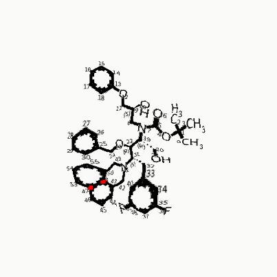 CC(C)(C)OC(=O)N(C[C@H](O)COc1ccccc1)[C@H](CO)[C@H](OCc1ccccc1)[C@H](Cc1cc(F)cc(F)c1)N(Cc1ccccc1)Cc1ccccc1